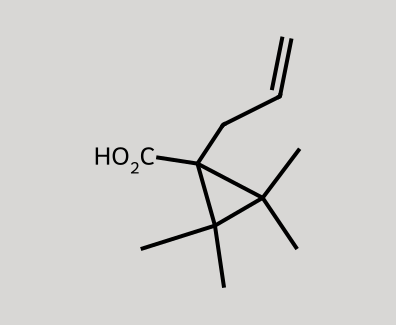 C=CCC1(C(=O)O)C(C)(C)C1(C)C